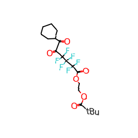 CC(C)(C)C(=O)OCCOC(=O)C(F)(F)C(F)(F)C(F)(F)C(=O)C(=O)C1CCCCC1